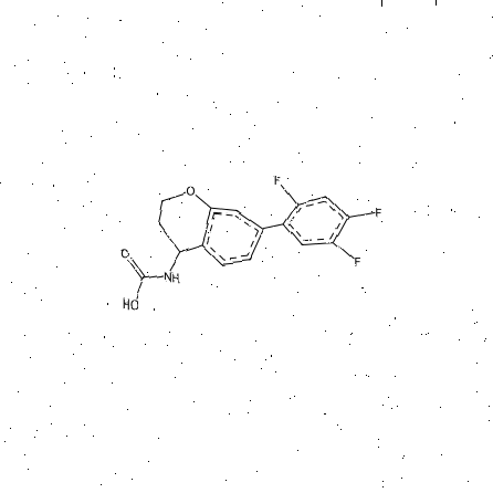 O=C(O)NC1CCOc2cc(-c3cc(F)c(F)cc3F)ccc21